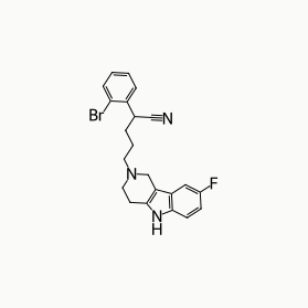 N#CC(CCCN1CCc2[nH]c3ccc(F)cc3c2C1)c1ccccc1Br